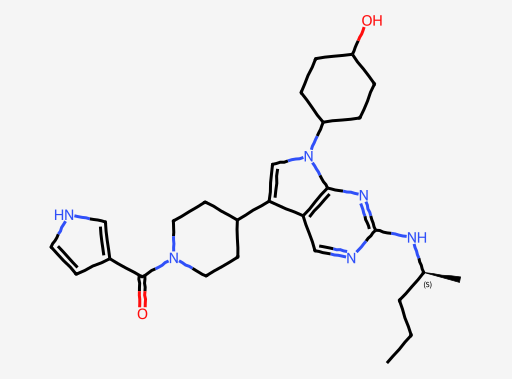 CCC[C@H](C)Nc1ncc2c(C3CCN(C(=O)c4cc[nH]c4)CC3)cn(C3CCC(O)CC3)c2n1